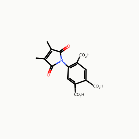 CC1=C(C)C(=O)N(c2cc(C(=O)O)c(C(=O)O)cc2C(=O)O)C1=O